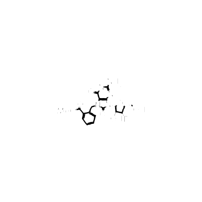 COC(=O)c1ccccc1Cn1c(=O)n([C@@H]2O[C@H](CO)[C@@H](F)[C@H]2O)c2nc(N)[nH]c(=O)c21